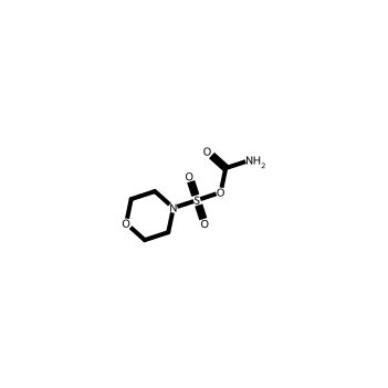 NC(=O)OS(=O)(=O)N1CCOCC1